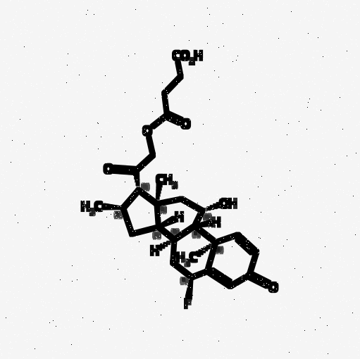 C[C@@H]1C[C@H]2[C@@H]3C[C@H](F)C4=CC(=O)C=C[C@]4(C)[C@H]3[C@@H](O)C[C@]2(C)[C@H]1C(=O)COC(=O)CCC(=O)O